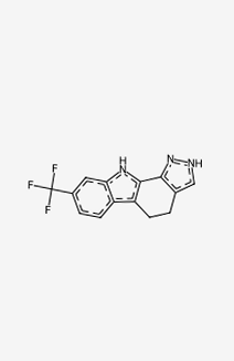 FC(F)(F)c1ccc2c3c([nH]c2c1)-c1n[nH]cc1CC3